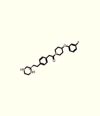 O=C(Cc1ccc(CC[C@@H]2CNCCN2)cc1)N1CCC(Oc2cccc(F)c2)CC1